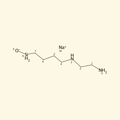 NCCNCCCC[SiH2][O-].[Na+]